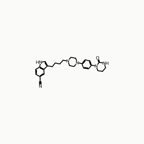 N#Cc1ccc2[nH]cc(CCCCN3CCN(c4ccc(N5CCCNC5=O)cc4)CC3)c2c1